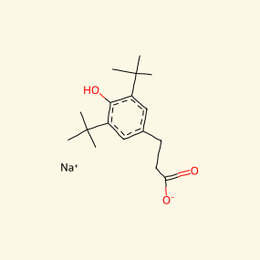 CC(C)(C)c1cc(CCC(=O)[O-])cc(C(C)(C)C)c1O.[Na+]